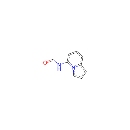 O=CNc1cccc2cccn12